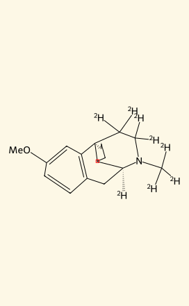 [2H]C([2H])([2H])N1C([2H])([2H])C([2H])([2H])[C@@]23CCCCC2[C@]1([2H])Cc1ccc(OC)cc13